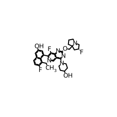 CCc1c(F)ccc2cc(O)cc(-c3ncc4c(N5CCC(O)CC5)nc(OCC56CCCN5C[C@H](F)C6)nc4c3F)c12